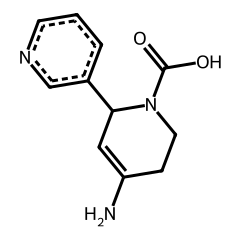 NC1=CC(c2cccnc2)N(C(=O)O)CC1